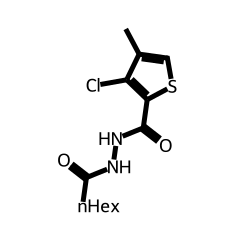 CCCCCCC(=O)NNC(=O)c1scc(C)c1Cl